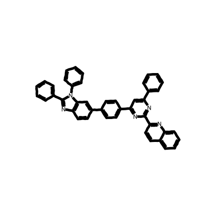 c1ccc(-c2cc(-c3ccc(-c4ccc5nc(-c6ccccc6)n(-c6ccccc6)c5c4)cc3)nc(-c3ccc4ccccc4n3)n2)cc1